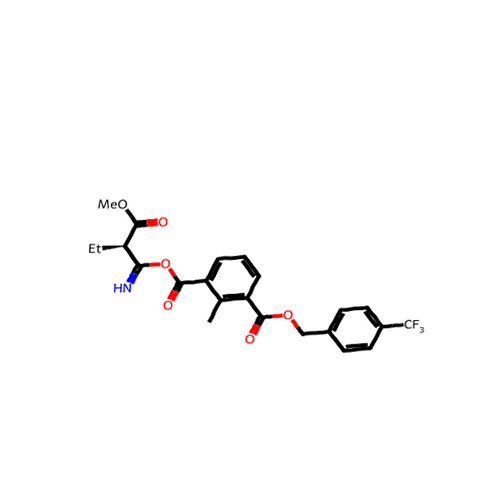 CC[C@H](C(=N)OC(=O)c1cccc(C(=O)OCc2ccc(C(F)(F)F)cc2)c1C)C(=O)OC